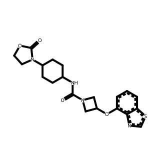 O=C(NC1CCC(N2CCOC2=O)CC1)N1CC(Oc2cccc3scnc23)C1